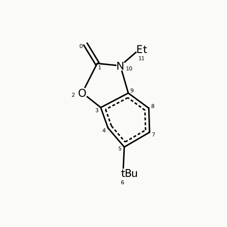 C=C1Oc2cc(C(C)(C)C)ccc2N1CC